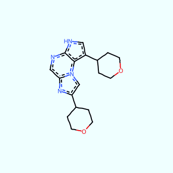 c1[nH]c2ncc3nc(C4CCOCC4)cn3c2c1C1CCOCC1